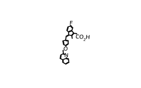 CC1=C(CC(=O)O)c2cc(F)ccc2C1=Cc1ccc(OCc2ccc3ccccc3n2)cc1